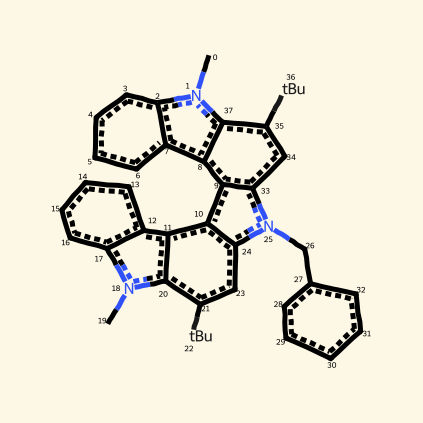 Cn1c2ccccc2c2c3c4c5c6ccccc6n(C)c5c(C(C)(C)C)cc4n(Cc4ccccc4)c3cc(C(C)(C)C)c21